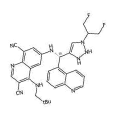 CC(C)(C)CNc1c(C#N)cnc2c(C#N)cc(N[C@H](C3=CN(C(CF)CF)NN3)c3cccc4ncccc34)cc12